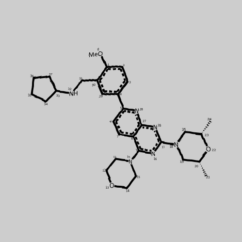 COc1ccc(-c2ccc3c(N4CCOCC4)nc(N4C[C@@H](C)O[C@@H](C)C4)nc3n2)cc1CNC1CCCC1